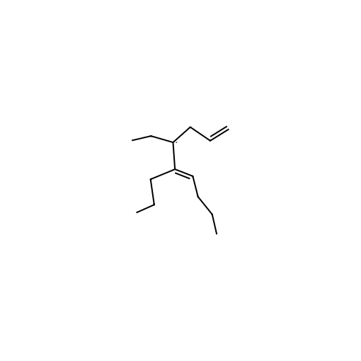 C=CC[C](CC)C(=CCCC)CCC